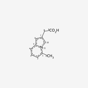 Cc1cccc2cc(CC(=O)O)cn12